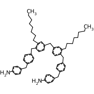 CCCCCCCCc1cc(Cc2ccc(Cc3ccc(Cc4ccc(N)cc4)cc3)c(CCCCCCCC)c2)ccc1Cc1ccc(Cc2ccc(N)cc2)cc1